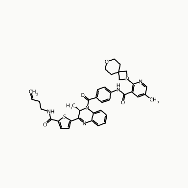 C=CCCNC(=O)c1ccc(C2=Nc3ccccc3N(C(=O)c3ccc(NC(=O)c4cc(C)cnc4N4CC5(CCOCC5)C4)cc3)[C@@H]2C)s1